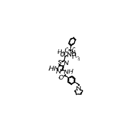 CC(C)(NC(=O)c1nc2c(NC(=O)c3ccc(CN4CCCC4)cc3)n[nH]c2s1)c1ccccc1